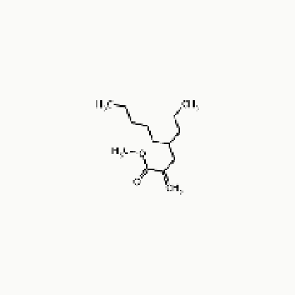 C=C(CC(CCC)CCCCC)C(=O)OC